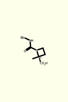 CC(C)(C)NC(=O)N1CC[C@@]1(C)C(=O)O